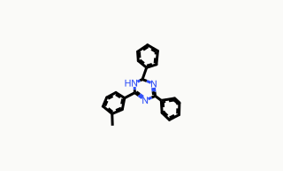 Cc1cccc(C2=NC(c3ccccc3)=NC(c3ccccc3)N2)c1